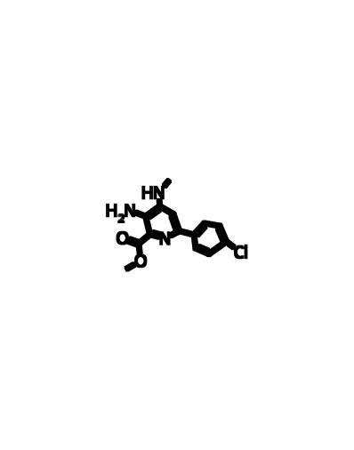 CNc1cc(-c2ccc(Cl)cc2)nc(C(=O)OC)c1N